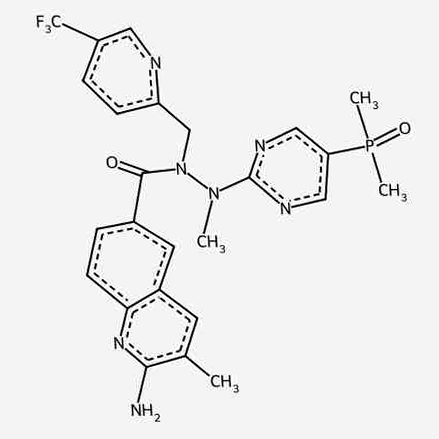 Cc1cc2cc(C(=O)N(Cc3ccc(C(F)(F)F)cn3)N(C)c3ncc(P(C)(C)=O)cn3)ccc2nc1N